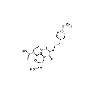 COc1ccc(CCC[C@@H]2Sc3ccc(C(=O)O)cc3N(CC(=O)NO)C2=O)cc1